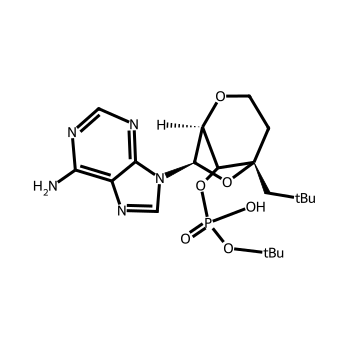 CC(C)(C)C[C@]12CCO[C@@H](C1OP(=O)(O)OC(C)(C)C)[C@H](n1cnc3c(N)ncnc31)O2